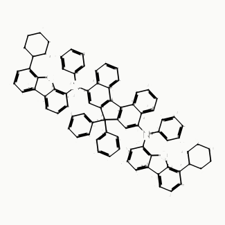 c1ccc(N(c2cc3c(c4ccccc24)-c2c(cc(N(c4ccccc4)c4cccc5c4oc4c(C6CCCCC6)cccc45)c4ccccc24)C3(c2ccccc2)c2ccccc2)c2cccc3c2oc2c(C4CCCCC4)cccc23)cc1